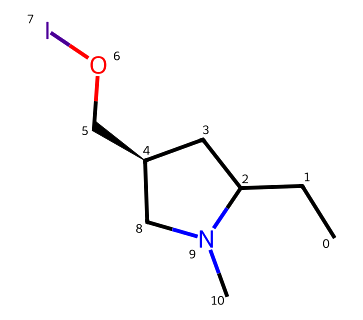 CCC1C[C@H](COI)CN1C